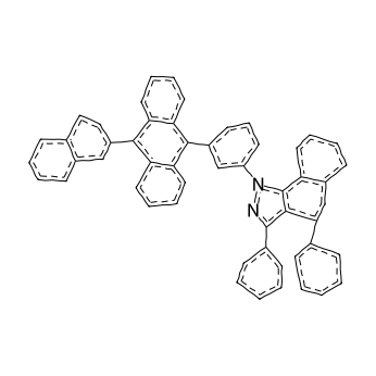 c1ccc(-c2cc3ccccc3c3c2c(-c2ccccc2)nn3-c2cccc(-c3c4ccccc4c(-c4ccc5ccccc5c4)c4ccccc34)c2)cc1